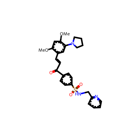 COc1cc(OC)c(N2CCCC2)cc1/C=C/C(=O)c1ccc(S(=O)(=O)NCc2ccccn2)cc1